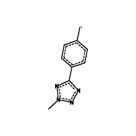 [CH2]c1ccc(-c2nnn(C)n2)cc1